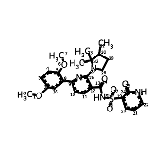 COc1ccc(OC)c(-c2ccc(C(=O)NS(=O)(=O)c3ccc[nH]c3=O)c(N3CCC(C)C3(C)C)n2)c1